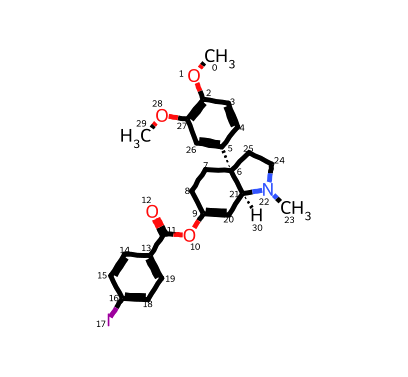 COc1ccc([C@@]23CCC(OC(=O)c4ccc(I)cc4)=C[C@@H]2N(C)CC3)cc1OC